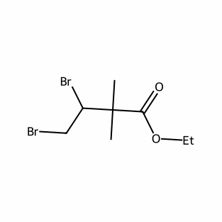 CCOC(=O)C(C)(C)C(Br)CBr